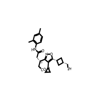 Cc1ccc(NC(=O)C[C@@H](CC(=O)O)c2noc([C@H]3C[C@@H](CC(C)C)C3)c2C2CC2)c(C)c1